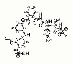 CCOc1cc(Nc2cc(Oc3ccc(NC(=O)Nc4cc(C(C)(C)C)cc(NS(C)(=O)=O)c4OC)c4ccccc34)ccn2)ccc1C[PH](=O)O